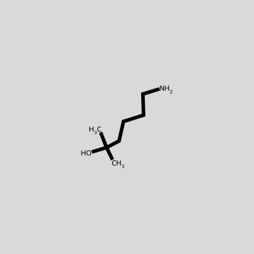 CC(C)(O)CCCCN